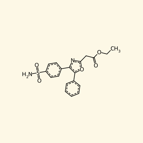 CCOC(=O)Cc1nc(-c2ccc(S(N)(=O)=O)cc2)c(-c2ccccc2)o1